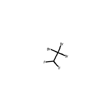 FC(F)C(Br)(Br)Br